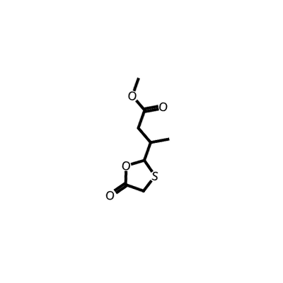 COC(=O)CC(C)C1OC(=O)CS1